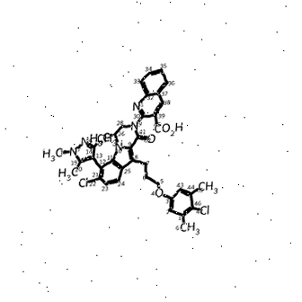 Cc1cc(OCCCc2c3n(c4c(-c5c(C)nn(C)c5C)c(Cl)ccc24)[C@H](C)CN(c2nc4ccccc4cc2C(=O)O)C3=O)cc(C)c1Cl